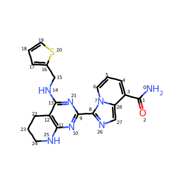 NC(=O)c1cccn2c(-c3nc4c(c(NCc5cccs5)n3)CCCN4)ncc12